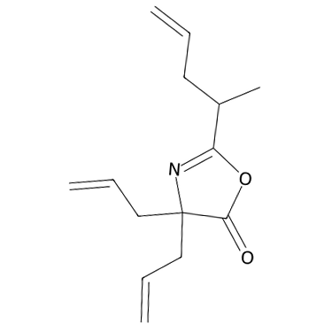 C=CCC(C)C1=NC(CC=C)(CC=C)C(=O)O1